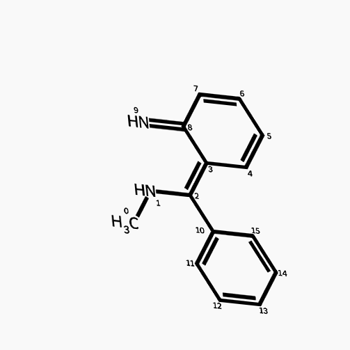 CN/C(=C1/C=CC=CC1=N)c1ccccc1